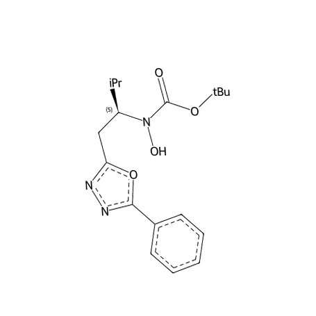 CC(C)[C@H](Cc1nnc(-c2ccccc2)o1)N(O)C(=O)OC(C)(C)C